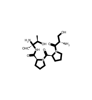 C[C@@H](O)[C@@](N)(C=O)NC(=O)[C@@H]1CCCN1C(=O)[C@@H]1CCCN1C(=O)[C@@H](N)CO